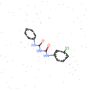 O=C(NC(=O)Nc1cccc(Cl)c1)Nc1ccccc1